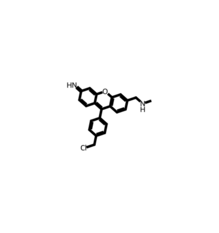 CNCc1ccc2c(-c3ccc(CCl)cc3)c3ccc(=N)cc-3oc2c1